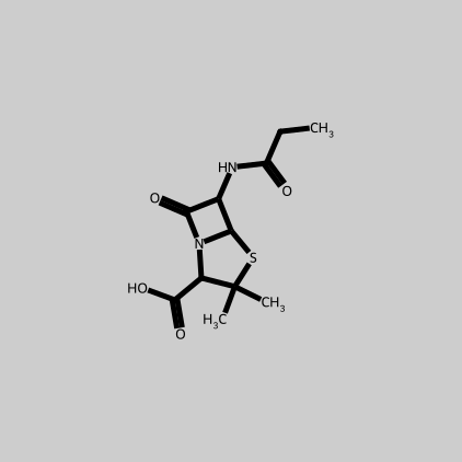 CCC(=O)NC1C(=O)N2C1SC(C)(C)C2C(=O)O